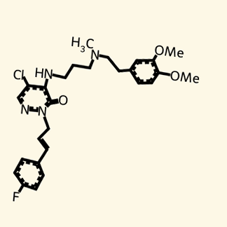 COc1ccc(CCN(C)CCCNc2c(Cl)cnn(CC=Cc3ccc(F)cc3)c2=O)cc1OC